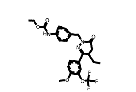 CCOC(=O)Nc1ccc(CN2N=C(c3ccc(OC)c(OC(F)(F)F)c3)C(CC)CC2=O)cc1